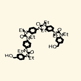 CCN(C(=O)N(CC)c1ccc(N(CC)C(=O)N(CC)c2ccc(N(CC)C(=O)N(CC)c3ccc(N(CC)C(=O)N(CC)c4ccc(CO)cc4)cc3)cc2)cc1)c1ccc(CO)cc1